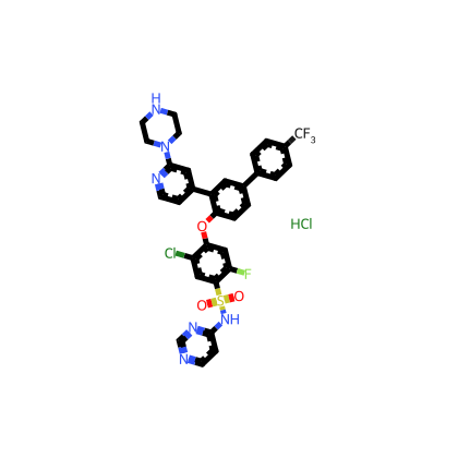 Cl.O=S(=O)(Nc1ccncn1)c1cc(Cl)c(Oc2ccc(-c3ccc(C(F)(F)F)cc3)cc2-c2ccnc(N3CCNCC3)c2)cc1F